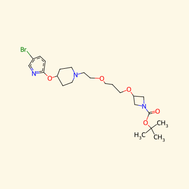 CC(C)(C)OC(=O)N1CC(OCCCOCCN2CCC(Oc3ccc(Br)cn3)CC2)C1